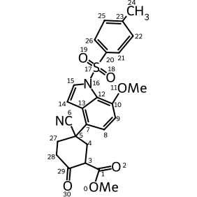 COC(=O)C1CC(C#N)(c2ccc(OC)c3c2ccn3S(=O)(=O)c2ccc(C)cc2)CCC1=O